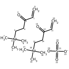 C=CC(=O)CC[N+](C)(C)C.C=CC(=O)CC[N+](C)(C)C.O=S(=O)([O-])[O-]